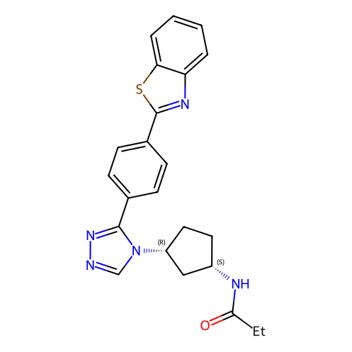 CCC(=O)N[C@H]1CC[C@@H](n2cnnc2-c2ccc(-c3nc4ccccc4s3)cc2)C1